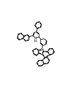 C1=CC(n2c3ccccc3c3c4c5ccccc5ccc4c4ccccc4c32)=CC(C2C=C(c3ccccc3)C=C(c3ccc4ccccc4c3)N2)C1